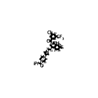 CC(C)C(=O)N1CCN(C2CN(CC[C@H](CN(C)C(=O)c3cc(Cl)cc(C(F)(F)F)c3)c3ccc(F)cc3)C2)CC1